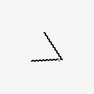 C=C(CCCCCCCCCCCCCCCCCC)OCCCCCCCCCCCCCCCC